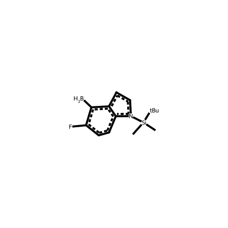 Bc1c(F)ccc2c1ccn2[Si](C)(C)C(C)(C)C